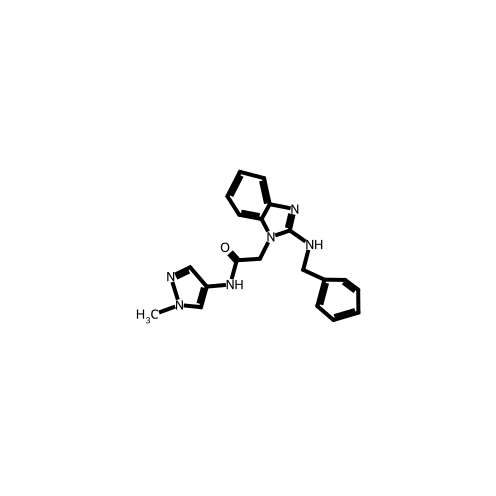 Cn1cc(NC(=O)Cn2c(NCc3ccccc3)nc3ccccc32)cn1